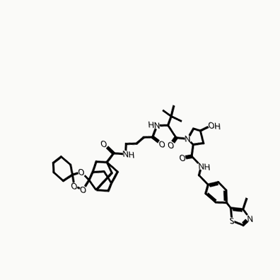 Cc1ncsc1-c1ccc(CNC(=O)C2CC(O)CN2C(=O)C(NC(=O)CCCNC(=O)C23CC4CC(C2)C2(OOC5(CCCCC5)O2)C(C4)C3)C(C)(C)C)cc1